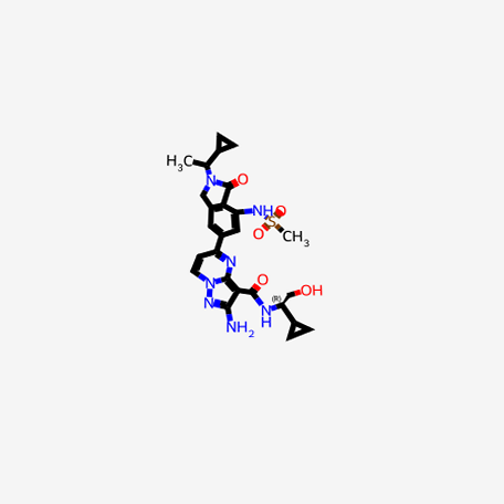 CC(C1CC1)N1Cc2cc(-c3ccn4nc(N)c(C(=O)N[C@@H](CO)C5CC5)c4n3)cc(NS(C)(=O)=O)c2C1=O